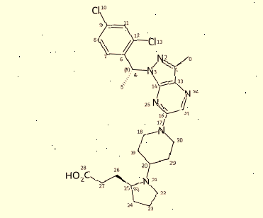 Cc1nn([C@H](C)c2ccc(Cl)cc2Cl)c2nc(N3CCC(N4CCC[C@H]4CCC(=O)O)CC3)cnc12